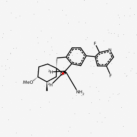 [2H]C1([2H])OC(N)=N[C@]12c1cc(-c3cc(F)cnc3F)ccc1C[C@]21CC[C@@H](OC)[C@H](C)C1